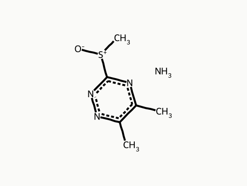 Cc1nnc([S+](C)[O-])nc1C.N